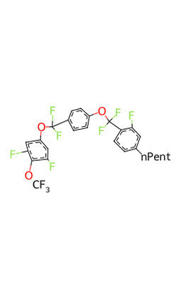 CCCCCc1ccc(C(F)(F)Oc2ccc(C(F)(F)Oc3cc(F)c(OC(F)(F)F)c(F)c3)cc2)c(F)c1